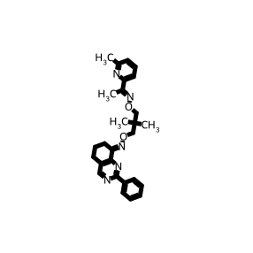 C/C(=N\OCC(C)(C)CO/N=C1\CCCc2cnc(-c3ccccc3)nc21)c1cccc(C)n1